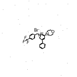 FC(F)(F)c1ccc(C[n+]2cc(-c3ccccc3)cc(N3CCOCC3)n2)cc1.[Br-]